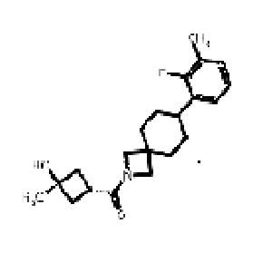 Cc1cccc(C2CCC3(CC2)CN(C(=O)[C@H]2C[C@@](C)(O)C2)C3)c1F